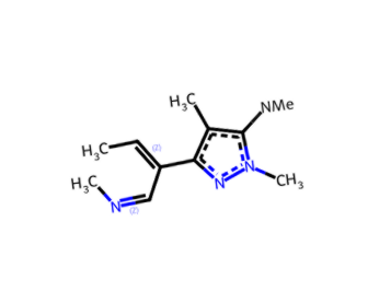 C/C=C(\C=N/C)c1nn(C)c(NC)c1C